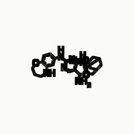 COC12CC3CC(C1)C(Nc1nc(Nc4ccc5c(c4)NCCCO5)ncc1C(N)=O)C(C3)C2